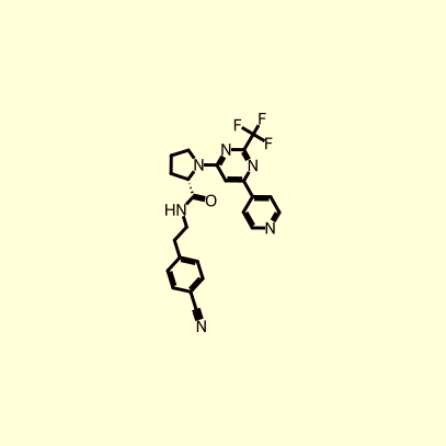 N#Cc1ccc(CCNC(=O)[C@@H]2CCCN2c2cc(-c3ccncc3)nc(C(F)(F)F)n2)cc1